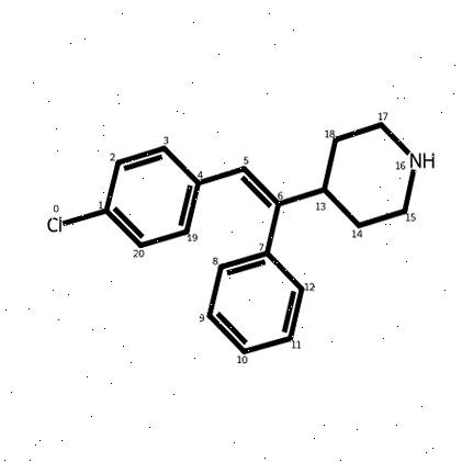 Clc1ccc(C=C(c2ccccc2)C2CCNCC2)cc1